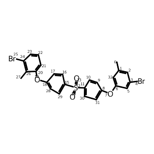 Cc1cc(Br)cc(Oc2ccc(S(=O)(=O)c3ccc(Oc4cccc(Br)c4C)cc3)cc2)c1